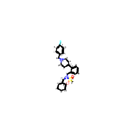 CS(=O)(=O)N(Cc1ccccc1C1CCN(Cc2ccc(F)cc2)CC1)CC1CCCCC1